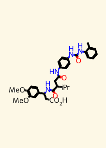 COc1ccc(C(CC(=O)O)NC(=O)C(CC(=O)Nc2ccc(NC(=O)Nc3ccccc3C)cc2)C(C)C)cc1OC